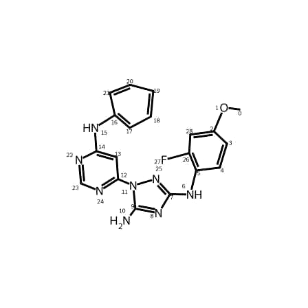 COc1ccc(Nc2nc(N)n(-c3cc(Nc4ccccc4)ncn3)n2)c(F)c1